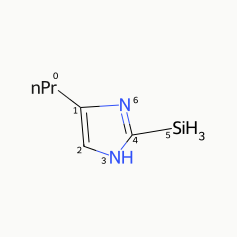 CCCc1c[nH]c([SiH3])n1